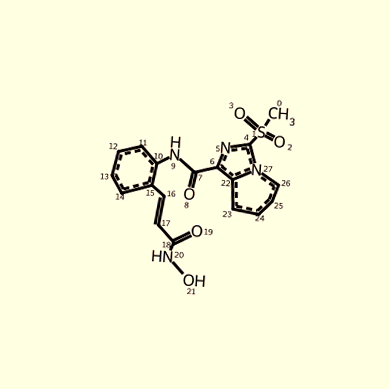 CS(=O)(=O)c1nc(C(=O)Nc2ccccc2C=CC(=O)NO)c2ccccn12